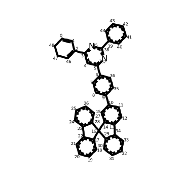 C1=CC(c2cc(-c3ccc(-c4ccc5c(c4)C4(c6ccccc6-c6ccccc64)c4ccccc4-5)cc3)nc(-c3ccccc3)n2)=CCC1